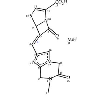 CN1Cc2nc(/C=C3\C(=O)N4C(C(=O)O)=CSC34)cn2CC1=O.[NaH]